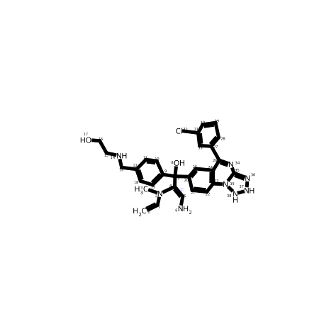 C=CN(C)/C(=C\N)C(O)(c1ccc(CNCCO)cc1)c1ccc2c(c1)C(c1cccc(Cl)c1)=NC1=NNNN12